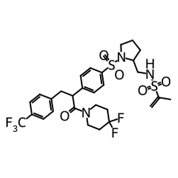 C=C(C)S(=O)(=O)NCC1CCCN1S(=O)(=O)c1ccc(C(Cc2ccc(C(F)(F)F)cc2)C(=O)N2CCC(F)(F)CC2)cc1